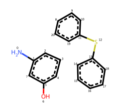 Nc1cccc(O)c1.c1ccc(Sc2ccccc2)cc1